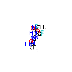 CC(F)(F)c1nocc1C(=O)NC(c1cn2ncc(CN3C[C@@H](C(F)(F)F)NC3=O)cc2n1)C1CCC(F)(F)CC1